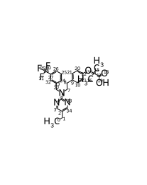 CCc1cnc(N(CCc2ccc(OC(C)(C)C(=O)O)cc2)Cc2cccc(C(F)(F)F)c2)nc1